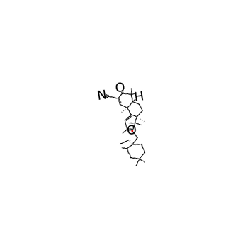 CC[C@]1(CCC(C)(C)[C@]2(C)CC[C@H]3C(C)(C)C(=O)C(C#N)=C[C@]3(C)/C2=C/C(C)=O)CCC(C)(C)CC1C